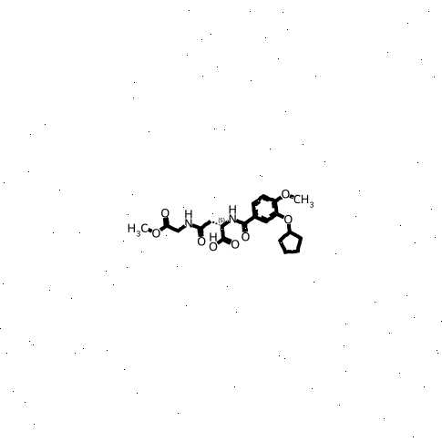 COC(=O)CNC(=O)C[C@H](NC(=O)c1ccc(OC)c(OC2CCCC2)c1)C(=O)O